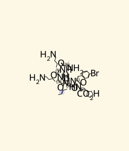 C/C=C/C[C@H](NC(=O)[C@H](CCCCN)NC(=O)[C@H](CCCCN)NC(=O)[C@H](C)N)C(=O)N[C@@H](Cc1ccc(Br)cc1)C(=O)N[C@@H](CC1CCCC1)C(=O)O